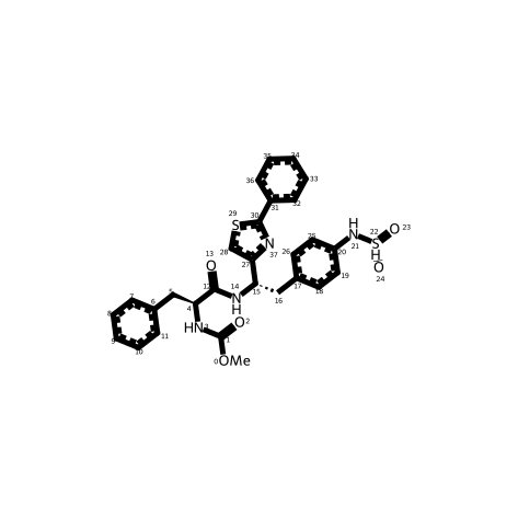 COC(=O)N[C@@H](Cc1ccccc1)C(=O)N[C@@H](Cc1ccc(N[SH](=O)=O)cc1)c1csc(-c2ccccc2)n1